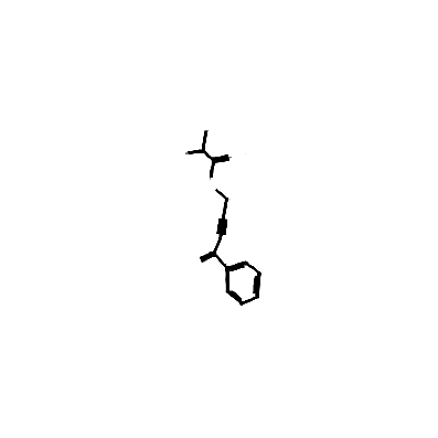 CC(O)C(=O)OCC#CC(=O)c1ccccc1